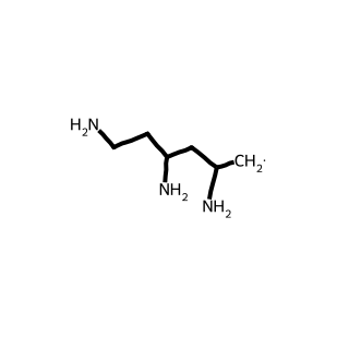 [CH2]C(N)CC(N)CCN